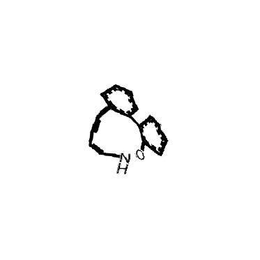 C1=CNOc2ccccc2-c2ccccc2C=C1